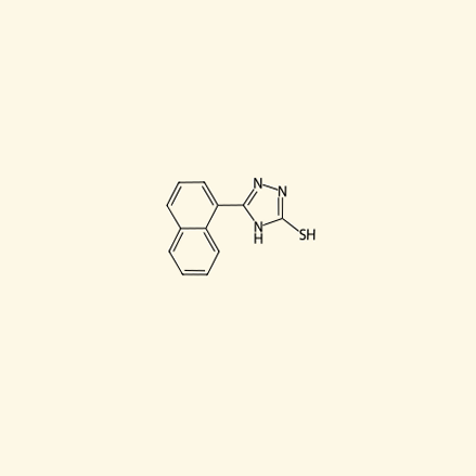 Sc1nnc(-c2cccc3ccccc23)[nH]1